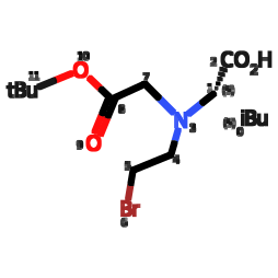 CC[C@H](C)[C@@H](C(=O)O)N(CCBr)CC(=O)OC(C)(C)C